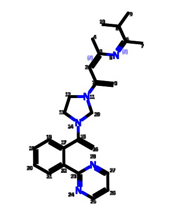 C=C(/C=C(C)\N=C(\C)C(C)C)N1CCN(C(=C)c2ccccc2-c2ncccn2)C1